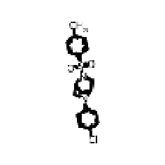 Cc1ccc(S(=O)(=O)N2CC3CC2CN3c2ccc(Cl)cc2)cc1